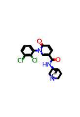 O=C(NC1CN2CCC1CC2)c1ccc(=O)n(-c2cccc(Cl)c2Cl)c1